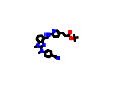 CN(c1ccc(C#N)cc1)c1nc2c(CNc3ccc(CCC(=O)OC(C)(C)C)cn3)cccc2n1C